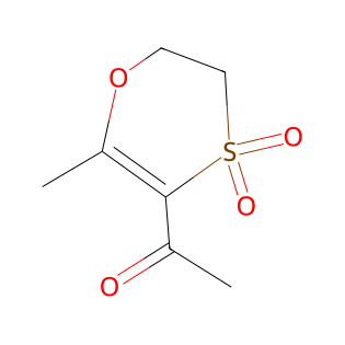 CC(=O)C1=C(C)OCCS1(=O)=O